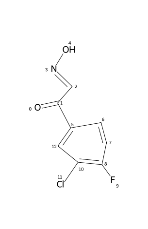 O=C(C=NO)c1ccc(F)c(Cl)c1